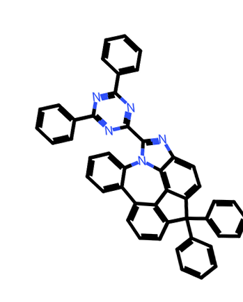 c1ccc(-c2nc(-c3ccccc3)nc(-c3nc4ccc5c6c4n3-c3ccccc3-c3cccc(c3-6)C5(c3ccccc3)c3ccccc3)n2)cc1